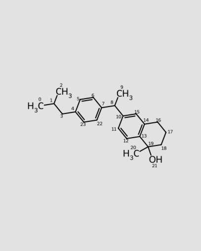 CC(C)Cc1ccc(C(C)c2ccc3c(c2)CCCC3(C)O)cc1